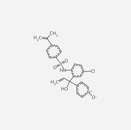 C=CC(O)(c1cc[n+]([O-])cc1)c1cc(Cl)ccc1NS(=O)(=O)c1ccc(C(=C)C)cc1